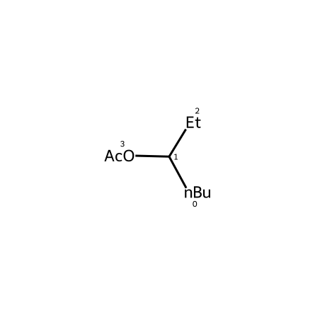 CCCCC(CC)OC(C)=O